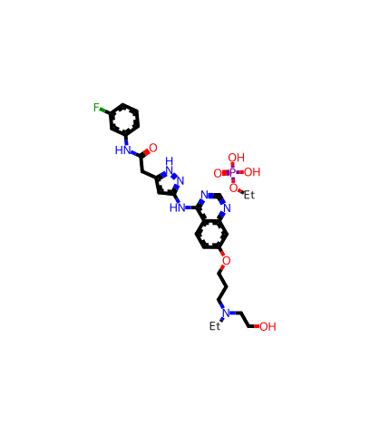 CCN(CCO)CCCOc1ccc2c(Nc3cc(CC(=O)Nc4cccc(F)c4)[nH]n3)ncnc2c1.CCOP(=O)(O)O